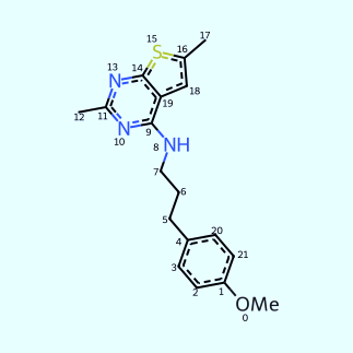 COc1ccc(CCCNc2nc(C)nc3sc(C)cc23)cc1